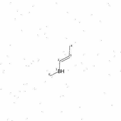 CB/C=C/C